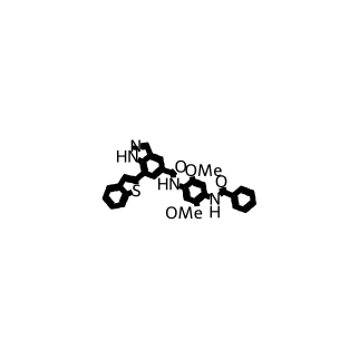 COc1cc(NC(=O)c2cc(-c3cc4ccccc4s3)c3[nH]ncc3c2)c(OC)cc1NC(=O)c1ccccc1